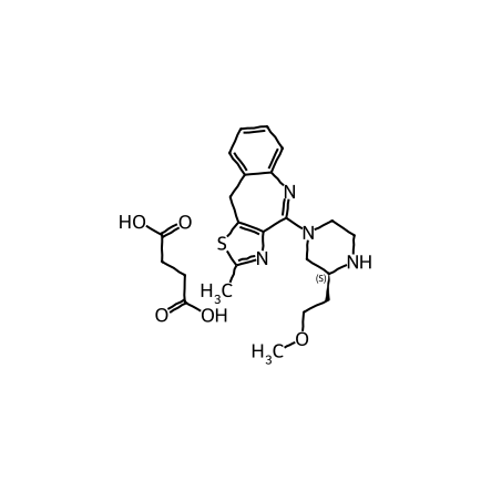 COCC[C@H]1CN(C2=Nc3ccccc3Cc3sc(C)nc32)CCN1.O=C(O)CCC(=O)O